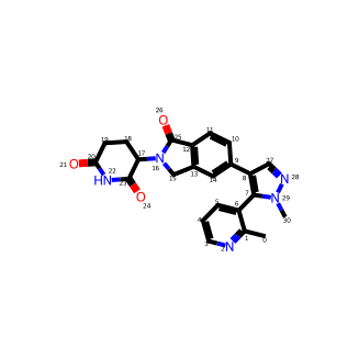 Cc1ncccc1-c1c(-c2ccc3c(c2)CN(C2CCC(=O)NC2=O)C3=O)cnn1C